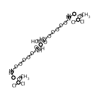 CN1Cc2c(Cl)cc(Cl)cc2[C@H](c2cccc(-c3cn(CCOCCOCCOCCOCCOCCNC(=O)Nc4ccc(NC(=O)NCCOCCOCCOCCOCCOCCn5cc(-c6cccc([C@@H]7CN(C)Cc8c(Cl)cc(Cl)cc87)c6)nn5)cc4)nn3)c2)C1.Cl